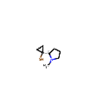 CN1CCC[C@H]1C1(S)CC1